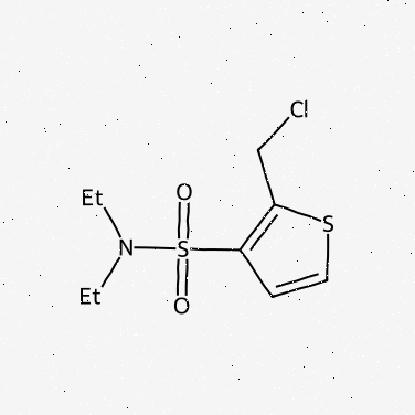 CCN(CC)S(=O)(=O)c1ccsc1CCl